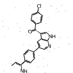 CC=C(N)c1ccc(-c2cnc3[nH]cc(C(=O)c4ccc(Cl)cc4)c3c2)cc1